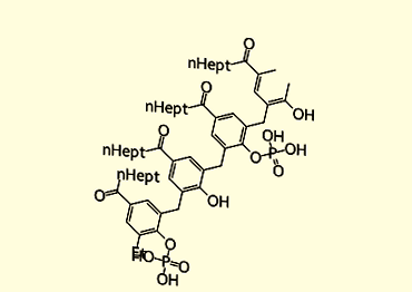 CCCCCCCC(=O)/C(C)=C/C(Cc1cc(C(=O)CCCCCCC)cc(Cc2cc(C(=O)CCCCCCC)cc(Cc3cc(C(=O)CCCCCCC)cc(CC)c3OP(=O)(O)O)c2O)c1OP(=O)(O)O)=C(\C)O